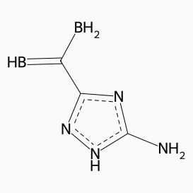 B=C(B)c1n[nH]c(N)n1